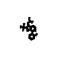 Fc1c[c]ccc1-c1nccc2c1nc(C(F)(F)F)n2CC(F)F